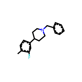 Cc1ccc(C2CCN(Cc3ccccc3)CC2)cc1F